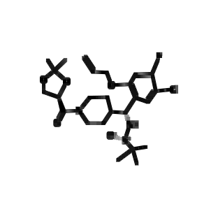 C=CCOc1cc(F)c(Cl)cc1[C@H](N[S@@+]([O-])C(C)(C)C)C1CCN(C(=O)[C@H]2COC(C)(C)O2)CC1